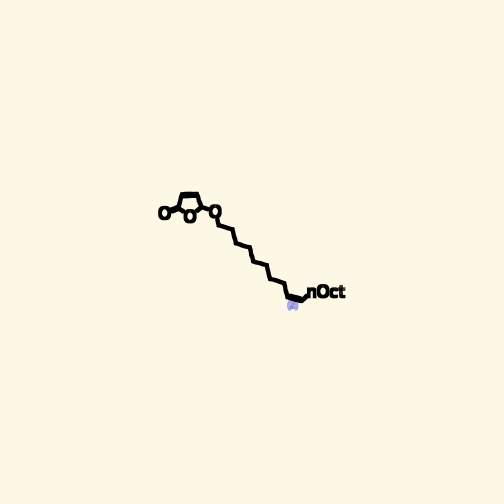 CCCCCCCC/C=C\CCCCCCCCOC1C=CC(=O)O1